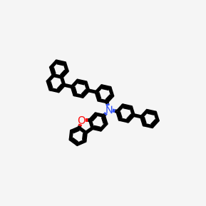 c1ccc(-c2ccc(N(c3cccc(-c4ccc(-c5cccc6ccccc56)cc4)c3)c3ccc4c(c3)oc3ccccc34)cc2)cc1